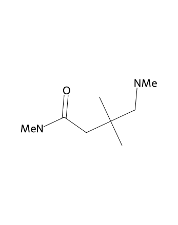 CNCC(C)(C)CC(=O)NC